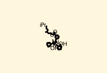 CC(C)CCCC(C)CCOC(=O)c1cccc(-c2nc(-c3ccccc3O)nc(-c3ccccc3O)n2)c1